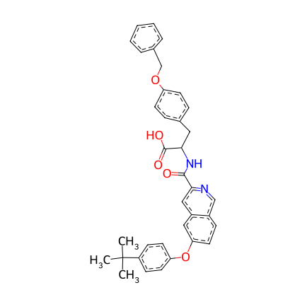 CC(C)(C)c1ccc(Oc2ccc3cnc(C(=O)NC(Cc4ccc(OCc5ccccc5)cc4)C(=O)O)cc3c2)cc1